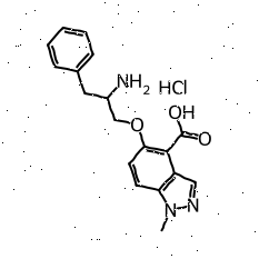 Cl.Cn1ncc2c(C(=O)O)c(OCC(N)Cc3ccccc3)ccc21